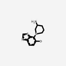 NC1CCCN(c2c([O])ccc3ncsc23)C1